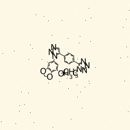 COc1cc(-n2nncc2-c2ccc(-c3nnnn3C)cc2)cc2c1OCO2